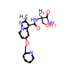 Cc1nn2ccc(OCc3ccccn3)cc2c1C(=O)NC(C)(CO)C(N)=O